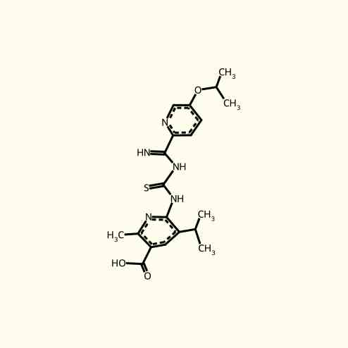 Cc1nc(NC(=S)NC(=N)c2ccc(OC(C)C)cn2)c(C(C)C)cc1C(=O)O